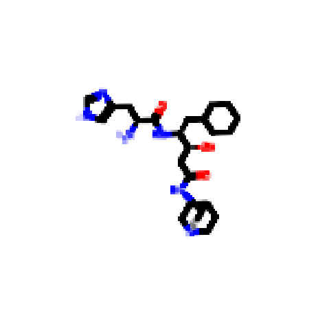 N[C@@H](Cc1c[nH]cn1)C(=O)N[C@@H](CC1CCCCC1)[C@H](O)CC(=O)NC1CN2CCC1CC2